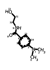 CN(C)c1ccc(C(=O)NCCO)cc1